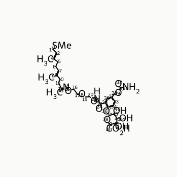 CSC/C=C(\C)CC/C=C(\C)CC/C(C)=N/OCCOCCONC(=O)c1cc(COC(N)=O)ccc1O[C@@H]1O[C@H](C(=O)O)[C@@H](O)[C@H](O)[C@H]1O